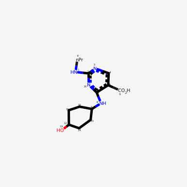 CCCNc1ncc(C(=O)O)c(NC2CCC(O)CC2)n1